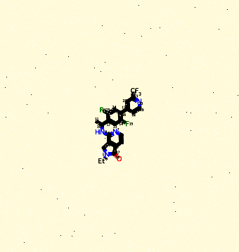 CCN1Cc2c(ccnc2NC(C)c2cc(F)c(-c3ccnc(C(F)(F)F)c3)cc2F)C1=O